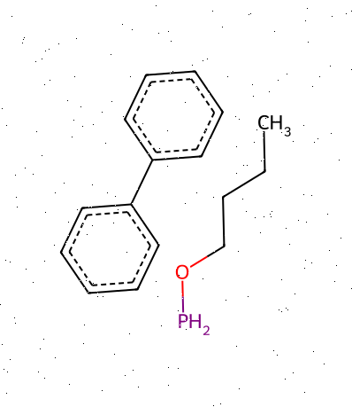 CCCCOP.c1ccc(-c2ccccc2)cc1